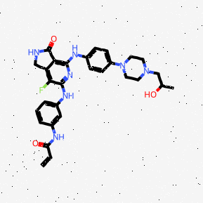 C=CC(=O)Nc1cccc(Nc2nc(Nc3ccc(N4CCN(CC(C)O)CC4)cc3)c3c(c2F)CNC3=O)c1